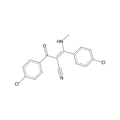 CNC(=C(C#N)C(=O)c1ccc(Cl)cc1)c1ccc(Cl)cc1